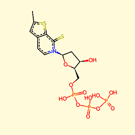 Cc1cc2ccn([C@H]3C[C@@H](O)[C@@H](COP(=O)(O)OP(=O)(O)OP(=O)(O)O)O3)c(=S)c2s1